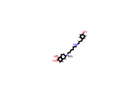 CCCN(CCCCCCNCCCc1ccc(O)cc1)C1CCc2c(ccc(O)c2O)C1